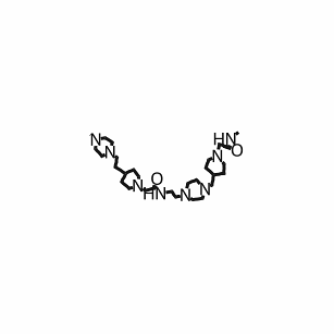 CNC(=O)CN1CCC(CN2CCN(CCNC(=O)CN3CCC(CCN4CCN(C)CC4)CC3)CC2)CC1